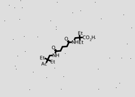 CCC(CC)(CNC(=O)CCCC(=O)NCC(CC)(CC)C(=O)O)C(C)=O